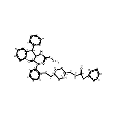 COC(=O)NC(C(=O)Nc1ccccc1CC[C@@H]1CN[C@H](CNC(=O)Cc2ccccc2)CO1)C(c1ccccc1)c1ccccc1